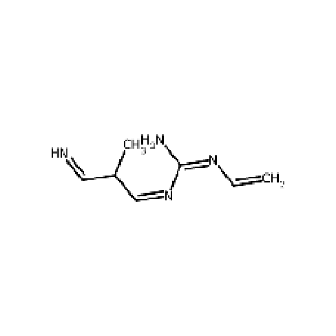 C=C/N=C(N)\N=C/C(C)C=N